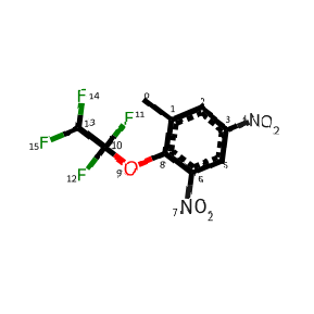 Cc1cc([N+](=O)[O-])cc([N+](=O)[O-])c1OC(F)(F)C(F)F